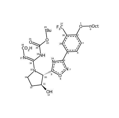 CCCCCCCCOc1ccc(-c2noc([C@@H]3[C@@H](O)CCN3/C(=N/C(=O)O)NC(=O)OC(C)(C)C)n2)cc1C(F)(F)F